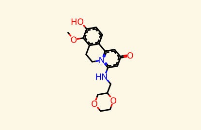 COc1c(O)ccc2c1CCn1c(NCC3COCCO3)cc(=O)cc1-2